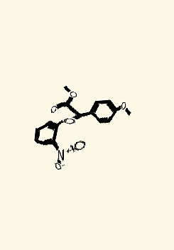 COC(=O)C(Oc1ccccc1[N+](=O)[O-])c1ccc(OC)cc1